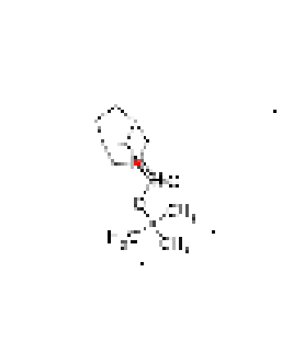 CC(C)(C)OC(=O)N1CC2CCC(C1)C2C#N